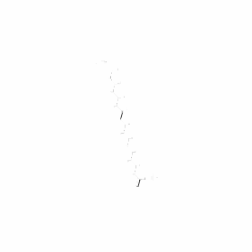 C=C(O)CCCCCCCC/C=C/CCCCCCO